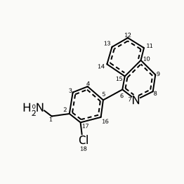 NCc1ccc(-c2nccc3ccccc23)cc1Cl